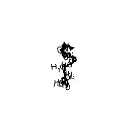 CN(CCNC[C@H](O)c1ccc(O)c2[nH]c(=O)ccc12)C(=O)CCOCCc1cccc(CN2CCC3(CC2)CN(C(=O)c2ccn(CC4CC4)n2)CCO3)c1F